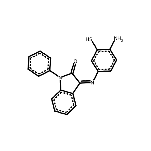 Nc1ccc(/N=C2\C(=O)N(c3ccccc3)c3ccccc32)cc1S